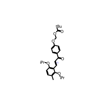 Cc1ccc(OC(C)C)c(/C=C/C(=O)c2ccc(OCOC(=O)C(C)(C)C)cc2)c1OC(C)C